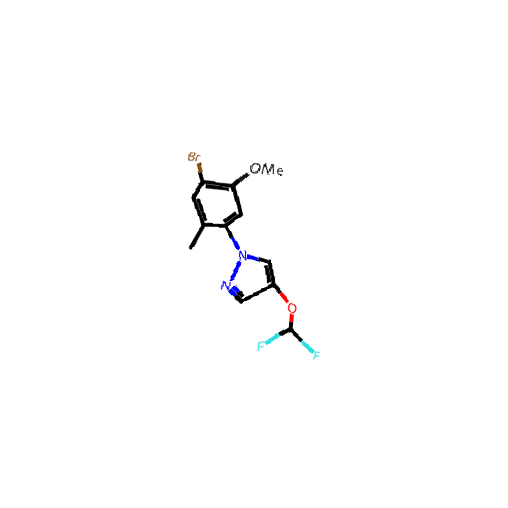 COc1cc(-n2cc(OC(F)F)cn2)c(C)cc1Br